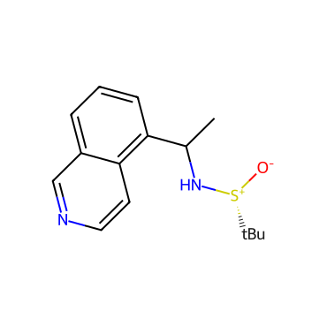 CC(N[S@+]([O-])C(C)(C)C)c1cccc2cnccc12